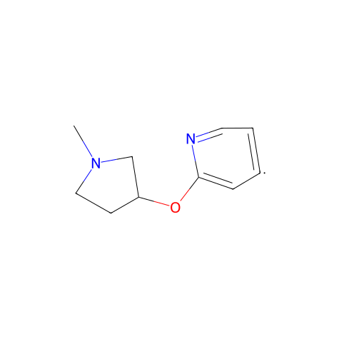 CN1CCC(Oc2c[c]ccn2)C1